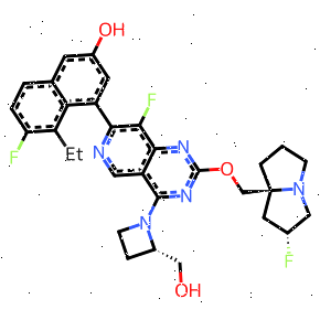 CCc1c(F)ccc2cc(O)cc(-c3ncc4c(N5CC[C@H]5CO)nc(OC[C@@]56CCCN5C[C@H](F)C6)nc4c3F)c12